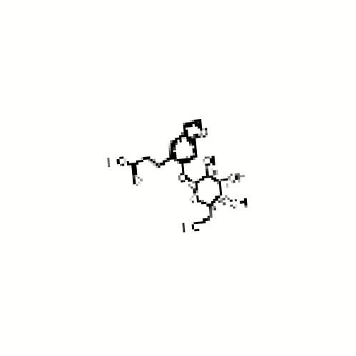 O=C(O)CCc1cc2ccoc2cc1O[C@@H]1O[C@H](CO)[C@@H](O)[C@H](O)[C@H]1O